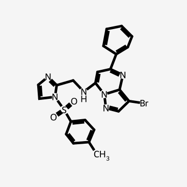 Cc1ccc(S(=O)(=O)n2ccnc2CNc2cc(-c3ccccc3)nc3c(Br)cnn23)cc1